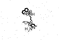 CCOCc1nc2c(N)nc(C)cc2n1CCCCNS(=O)(=O)c1cccc2cccnc12